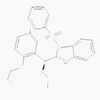 COCOc1ccc(F)cc1[C@H](N[S@@+]([O-])C(C)(C)C)c1cc2ccccc2n1S(=O)(=O)c1ccccc1